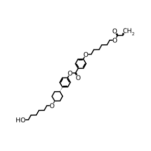 C=CC(=O)OCCCCCCOc1ccc(C(=O)Oc2ccc([C@H]3CC[C@H](OCCCCCCO)CC3)cc2)cc1